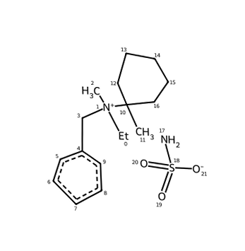 CC[N+](C)(Cc1ccccc1)C1(C)CCCCC1.NS(=O)(=O)[O-]